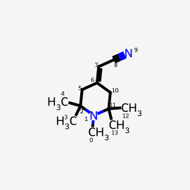 CN1C(C)(C)CC(=CC#N)CC1(C)C